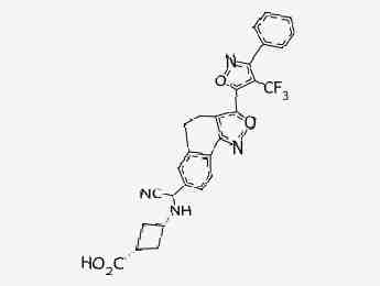 N#CC(N[C@H]1C[C@@H](C(=O)O)C1)c1ccc2c(c1)CCc1c-2noc1-c1onc(-c2ccccc2)c1C(F)(F)F